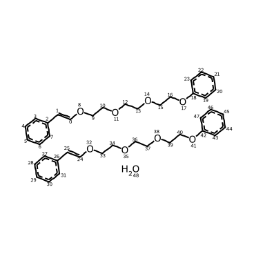 C(=Cc1ccccc1)OCCOCCOCCOc1ccccc1.C(=Cc1ccccc1)OCCOCCOCCOc1ccccc1.O